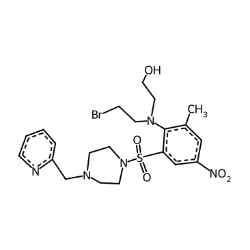 Cc1cc([N+](=O)[O-])cc(S(=O)(=O)N2CCN(Cc3ccccn3)CC2)c1N(CCO)CCBr